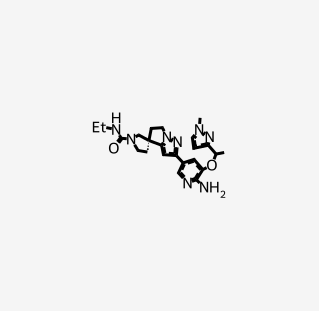 CCNC(=O)N1CC[C@@]2(CCn3nc(-c4cnc(N)c(OC(C)c5ccn(C)n5)c4)cc32)C1